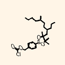 CCCCC(C)CCC(CCC)CC1(C)OB(c2ccc(COC(=O)Cl)cc2)OC1(C)C